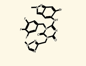 Cn1cnc(Cn2c(=O)nc(Nc3cc4cn(C)nc4cc3Br)n(Cc3cc(F)c(F)c(F)c3)c2=O)n1